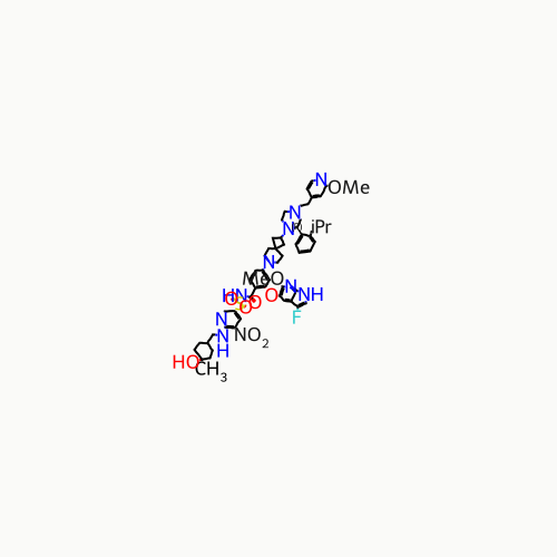 COc1cc(CCN2CCN(C3CC4(CCN(c5ccc(C(=O)NS(=O)(=O)c6cnc(NCC7CCC(C)(O)CC7)c([N+](=O)[O-])c6)c(Oc6cc7c(F)c[nH]c7nc6OC)c5)CC4)C3)[C@H](c3ccccc3C(C)C)C2)ccn1